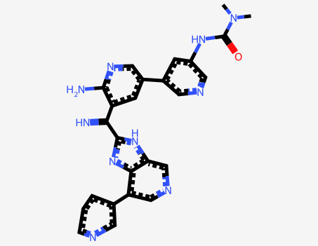 CN(C)C(=O)Nc1cncc(-c2cnc(N)c(C(=N)c3nc4c(-c5cccnc5)cncc4[nH]3)c2)c1